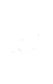 O=[N+]([O-])O.O=[P](=O)[K]